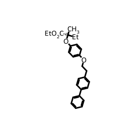 CCOC(=O)[C@](C)(CC)Oc1ccc(OCCc2ccc(-c3ccccc3)cc2)cc1